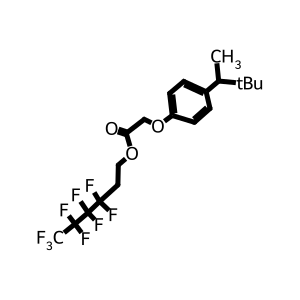 CC(c1ccc(OCC(=O)OCCC(F)(F)C(F)(F)C(F)(F)C(F)(F)F)cc1)C(C)(C)C